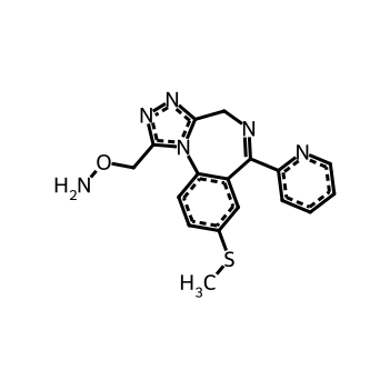 CSc1ccc2c(c1)C(c1ccccn1)=NCc1nnc(CON)n1-2